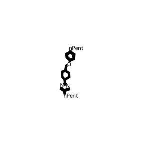 CCCCCc1ccc(OCC2CCC(c3ncc(CCCCC)cn3)CC2)cc1